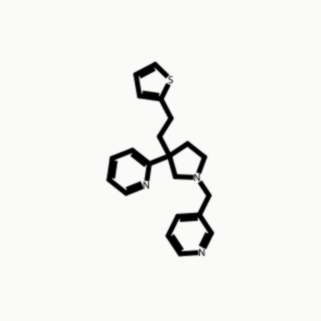 c1ccc(C2(CCc3cccs3)CCN(Cc3cccnc3)C2)nc1